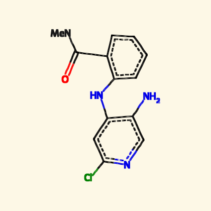 CNC(=O)c1ccccc1Nc1cc(Cl)ncc1N